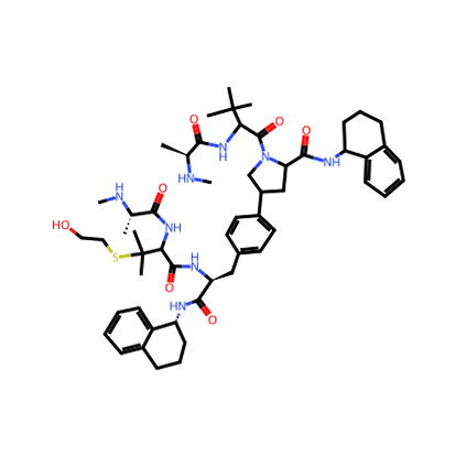 CN[C@@H](C)C(=O)NC(C(=O)N1CC(c2ccc(C[C@H](NC(=O)C(NC(=O)[C@H](C)NC)C(C)(C)SCCO)C(=O)N[C@@H]3CCCc4ccccc43)cc2)CC1C(=O)NC1CCCc2ccccc21)C(C)(C)C